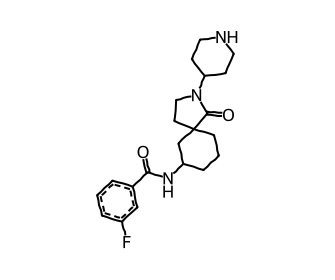 O=C(NC1CCCC2(CCN(C3CCNCC3)C2=O)C1)c1cccc(F)c1